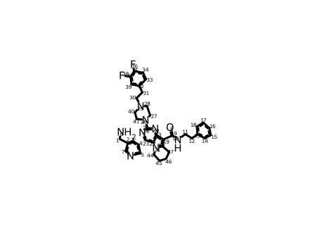 NCc1cccnc1.O=C(NCCc1ccccc1)c1c2n(c3cnc(N4CCN(CCc5ccc(F)c(F)c5)CC4)nc13)CCCC2